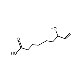 C=CC(O)CCCCCC(=O)O